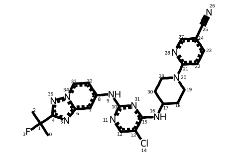 CC(C)(F)c1nc2cc(Nc3ncc(Cl)c(NC4CCN(c5ccc(C#N)cn5)CC4)n3)ccn2n1